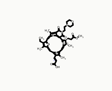 CCC1=C(C)c2cc3[nH]c(cc4nc(c5c6[nH]c(cc1n2)c(C)c6C(=O)N(CCN1CCOCC1)C5=O)[C@@H](CCC(=O)OC)[C@@H]4C)c(C)c3/C=C/C(=O)O